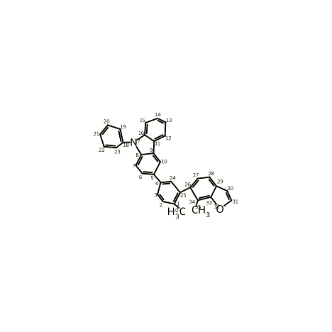 Cc1ccc(-c2ccc3c(c2)c2ccccc2n3-c2ccccc2)cc1-c1ccc2ccoc2c1C